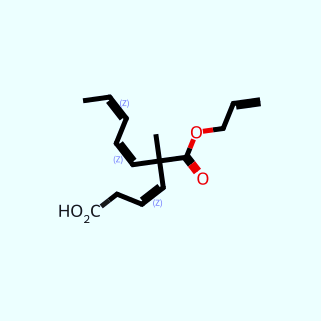 C=CCOC(=O)C(C)(/C=C\C=C/C)/C=C\CC(=O)O